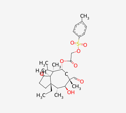 CC[C@@]12CCC(=O)[C@H]1[C@@](C)(C(C)C)[C@H](OC(=O)COS(=O)(=O)c1ccc(C)cc1)C[C@](C)(C=O)[C@@H](O)[C@@H]2C